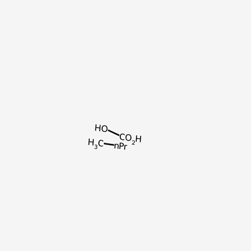 CCCC.O=C(O)O